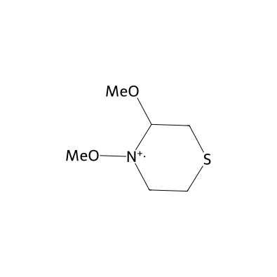 COC1CSCC[N+]1OC